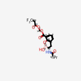 CCCC(=O)N[C@H]1Cc2cccc(C(=O)OCOC(=O)CC(F)(F)F)c2OB1O